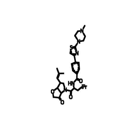 CC(C)=CC1CN(C(=O)C(CC(C)C)NC(=O)c2ccc(-c3csc(N4CCN(C)CC4)n3)cc2)C2C(=O)COC12